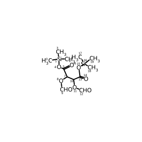 C[Si](C)(C)OC(=O)C(OC=O)C(OC=O)C(=O)O[Si](C)(C)C